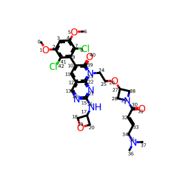 COc1cc(OC)c(Cl)c(-c2cc3cnc(NC4COC4)nc3n(CCOC3CN(C(=O)C=CCN(C)C)C3)c2=O)c1Cl